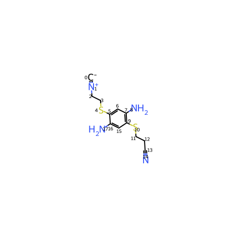 [C-]#[N+]CCSc1cc(N)c(SCCC#N)cc1N